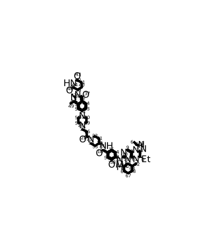 CC[C@@H]1c2nnc(C)n2-c2cnc(Nc3ccc(C(=O)NC4CCN(C(=O)CCN5CCN(c6ccc7c(=O)n(C8CCC(=O)NC8=O)nc(C)c7c6)CC5)CC4)cc3OC)nc2N1CC1CCCCC1